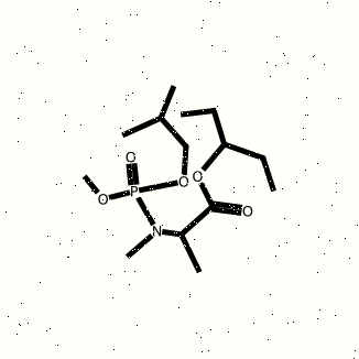 CCC(CC)OC(=O)C(C)N(C)P(=O)(OC)OCC(C)C